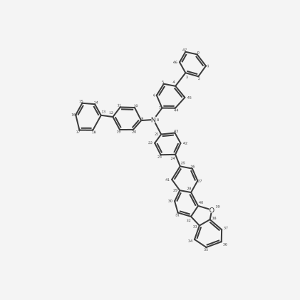 c1ccc(-c2ccc(N(c3ccc(-c4ccccc4)cc3)c3ccc(-c4ccc5c(ccc6c7ccccc7oc56)c4)cc3)cc2)cc1